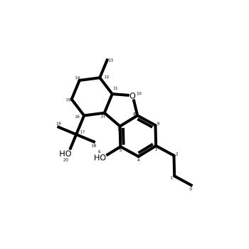 CCCc1cc(O)c2c(c1)OC1C(C)CCC(C(C)(C)O)C21